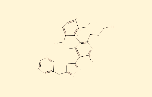 CCCCc1nc(O)c(-c2nnc(Cc3cnccn3)o2)c(O)c1-c1c(OC)cccc1OC